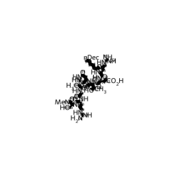 CCCCCCCCCCCCCCCC(=O)N[C@@H](CCCNC(=N)N)C(=O)N[C@@H](CCC(=O)O)C(=O)N[C@H](C(=O)N[C@H]1CC(=O)NNN([C@@H](C)C(=O)NCC(=O)N[C@@H](CCCNC(=N)N)C(=O)N[C@@H](CO)C(=O)NC)C1=O)[C@@H](C)O